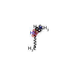 CCCCCCCCCCC(=O)ONS(=O)(=O)c1cccc2c(N(C)C)cccc12